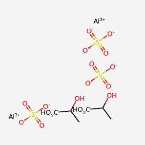 CC(O)C(=O)O.CC(O)C(=O)O.O=S(=O)([O-])[O-].O=S(=O)([O-])[O-].O=S(=O)([O-])[O-].[Al+3].[Al+3]